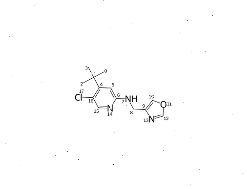 CC(C)(C)c1cc(NCc2cocn2)ncc1Cl